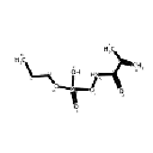 C=C(C)C(=O)NOP(=O)(O)OCCC